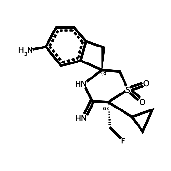 N=C1N[C@@]2(Cc3ccc(N)cc32)CS(=O)(=O)[C@@]1(CF)C1CC1